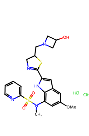 COc1cc(N(C)S(=O)(=O)c2ccccn2)c2[nH]c(C3=NCC(CN4CC(O)C4)S3)cc2c1.Cl.Cl